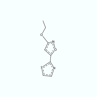 CCOc1cc(-c2nccs2)on1